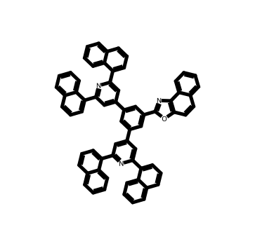 c1ccc2c(-c3cc(-c4cc(-c5cc(-c6cccc7ccccc67)nc(-c6cccc7ccccc67)c5)cc(-c5nc6c(ccc7ccccc76)o5)c4)cc(-c4cccc5ccccc45)n3)cccc2c1